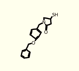 O=C1CC(S)CN1Cc1ccc(OCc2ccccc2)cc1